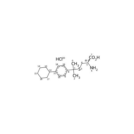 CC(C)(SC[C@H](N)C(=O)O)c1ccc(C2CCCCC2)cc1.Cl